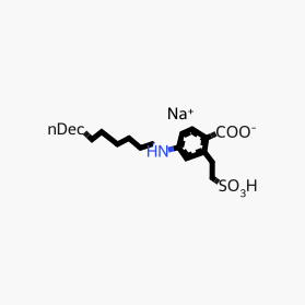 CCCCCCCCCCCCCCCCNc1ccc(C(=O)[O-])c(CCS(=O)(=O)O)c1.[Na+]